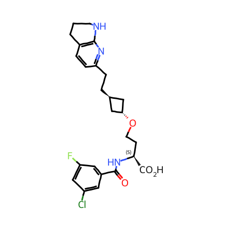 O=C(N[C@@H](CCO[C@H]1C[C@H](CCc2ccc3c(n2)NCCC3)C1)C(=O)O)c1cc(F)cc(Cl)c1